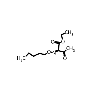 CCCCCON=C(C(C)=O)C(=O)OCC